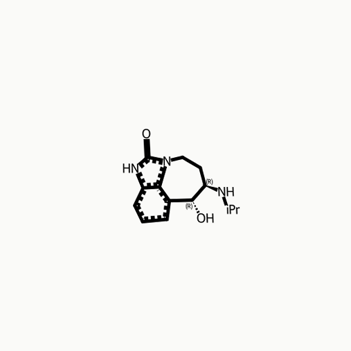 CC(C)N[C@@H]1CCn2c(=O)[nH]c3cccc(c32)[C@H]1O